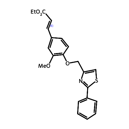 CCOC(=O)/C=C/c1ccc(OCc2csc(-c3ccccc3)n2)c(OC)c1